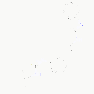 CC[C@@H]1CS/C(=N/c2cccc(CCNc3nc4ccccc4s3)c2)N1